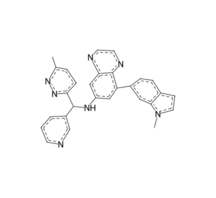 Cc1ccc(C(Nc2cc(-c3ccc4ccn(C)c4c3)c3nccnc3c2)c2cccnc2)nn1